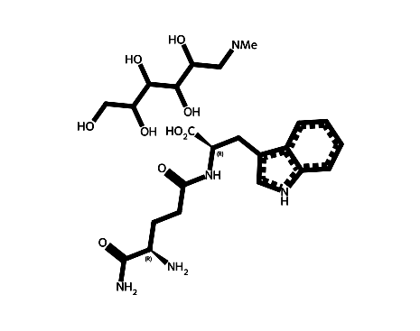 CNCC(O)C(O)C(O)C(O)CO.NC(=O)[C@H](N)CCC(=O)N[C@H](Cc1c[nH]c2ccccc12)C(=O)O